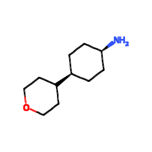 N[C@H]1CC[C@@H](C2CCOCC2)CC1